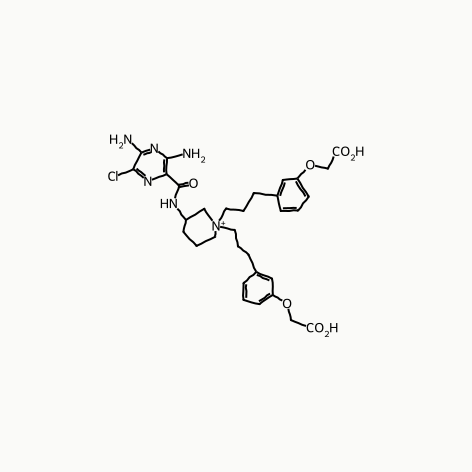 Nc1nc(N)c(C(=O)NC2CCC[N+](CCCc3cccc(OCC(=O)O)c3)(CCCc3cccc(OCC(=O)O)c3)C2)nc1Cl